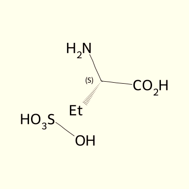 CC[C@H](N)C(=O)O.O=S(=O)(O)O